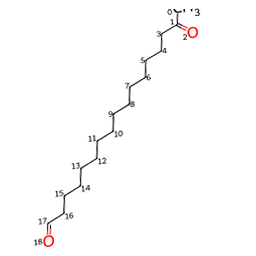 CC(=O)CCCCCCCCCCCCCCC=O